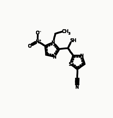 CCn1c([N+](=O)[O-])cnc1C(S)c1ncc(C#N)s1